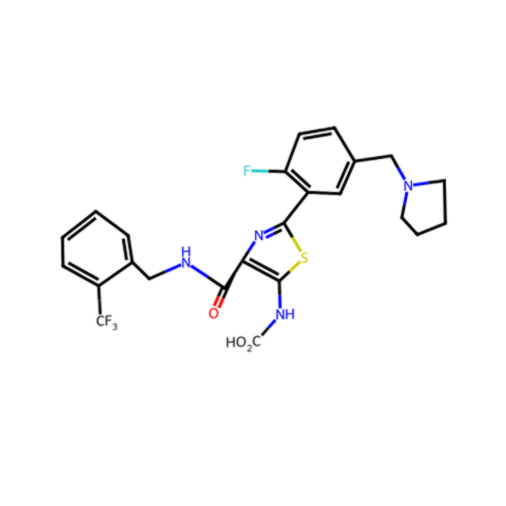 O=C(O)Nc1sc(-c2cc(CN3CCCC3)ccc2F)nc1C(=O)NCc1ccccc1C(F)(F)F